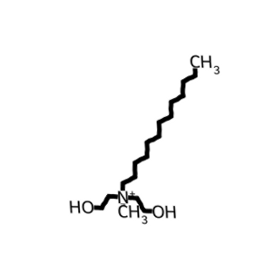 CCCCCCCCCCCCC[N+](C)(CCO)CCO